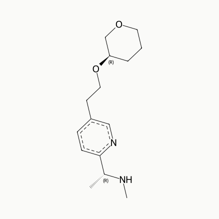 CN[C@H](C)c1ccc(CCO[C@@H]2CCCOC2)cn1